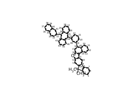 CC1(C)c2ccccc2-c2cc3c(cc21)oc1cc(-c2cccc(-c4c5ccccc5c(-c5ccc6ccccc6c5)c5ccccc45)c2)c2ccccc2c13